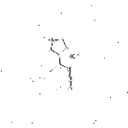 C[C@@H](N=[N+]=[N-])[C@H]1CCNC1.Cl